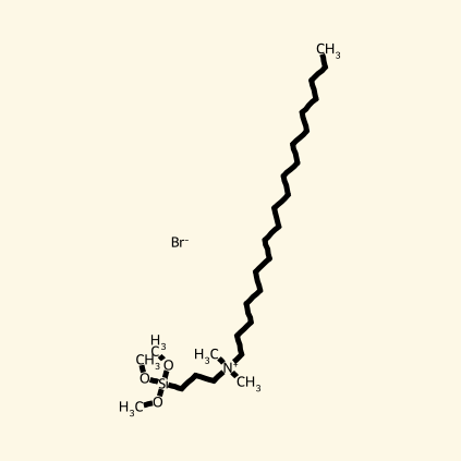 CCCCCCCCCCCCCCCCCCCC[N+](C)(C)CCC[Si](OC)(OC)OC.[Br-]